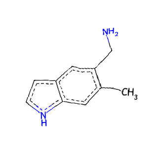 Cc1cc2[nH]ccc2cc1CN